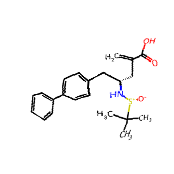 C=C(C[C@@H](Cc1ccc(-c2ccccc2)cc1)N[S@+]([O-])C(C)(C)C)C(=O)O